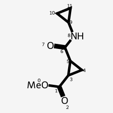 COC(=O)C1CC1C(=O)NC1CC1